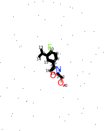 COCc1nc(-c2ccc(F)c(C(C)C)c2)co1